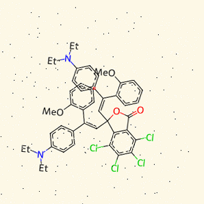 CCN(CC)c1ccc(/C(=C/C2(/C=C(/c3ccc(N(CC)CC)cc3)c3ccccc3OC)OC(=O)c3c(Cl)c(Cl)c(Cl)c(Cl)c32)c2ccccc2OC)cc1